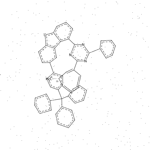 C[C@H]1C=CC=CC(c2nc(-c3ccccc3)nc(-c3cccc4oc5ccc(-c6ccc(C(c7ccccc7)(c7ccccc7)c7ccccc7)cc6)cc5c34)n2)=C1